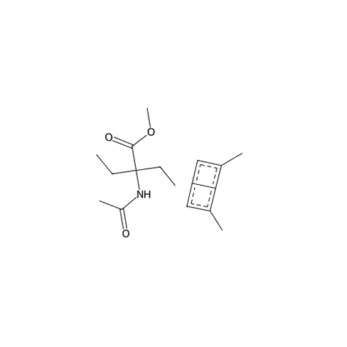 CCC(CC)(NC(C)=O)C(=O)OC.Cc1cc2cc(C)c1-2